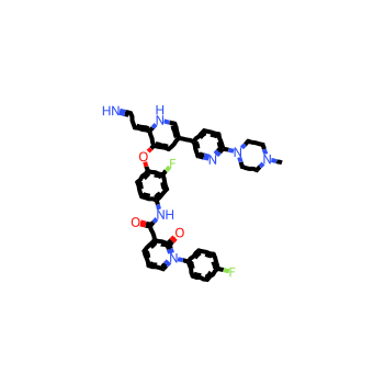 CN1CCN(c2ccc(C3=CN/C(=C\C=N)C(Oc4ccc(NC(=O)c5cccn(-c6ccc(F)cc6)c5=O)cc4F)=C3)cn2)CC1